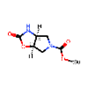 CC(C)(C)OC(=O)N1C[C@@H]2NC(=O)O[C@@H]2C1